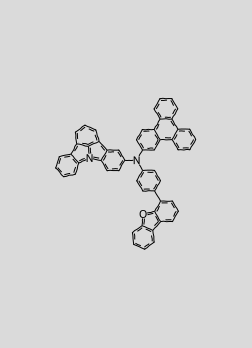 c1ccc2c(c1)oc1c(-c3ccc(N(c4ccc5c6ccccc6c6ccccc6c5c4)c4ccc5c(c4)c4cccc6c7ccccc7n5c64)cc3)cccc12